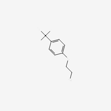 NCCNc1[c]cc(C(F)(F)F)cc1